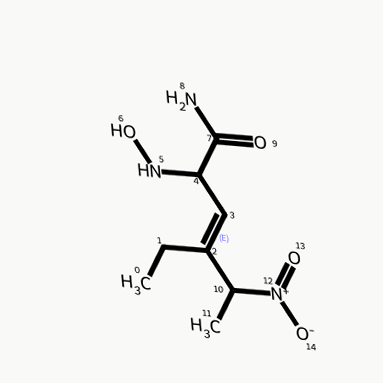 CC/C(=C\C(NO)C(N)=O)C(C)[N+](=O)[O-]